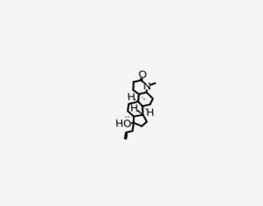 C=CCC1(O)CC[C@H]2[C@@H]3CCC4N(C)C(=O)CC[C@]4(C)[C@@H]3CC[C@@]21C